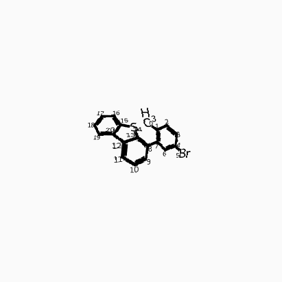 Cc1ccc(Br)cc1-c1cccc2c1sc1ccccc12